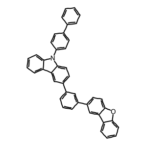 c1ccc(-c2ccc(-n3c4ccccc4c4cc(-c5cccc(-c6ccc7oc8ccccc8c7c6)c5)ccc43)cc2)cc1